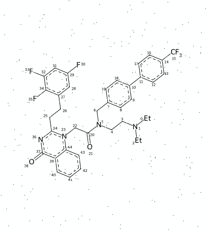 CCN(CC)CCN(Cc1ccc(-c2ccc(C(F)(F)F)cc2)cc1)C(=O)Cn1c(CCc2cc(F)cc(F)c2F)nc(=O)c2ccccc21